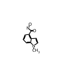 Cn1ccc2c(C(=O)N=O)cccc21